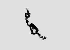 CC1(C)OC[C@H](CCSc2ccc(CC(=O)O)cc2)O1